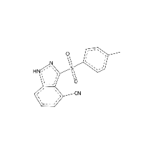 Cc1ccc(S(=O)(=O)c2n[nH]c3cccc(C#N)c23)cc1